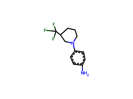 Nc1ccc(N2CCCC(C(F)(F)F)C2)cc1